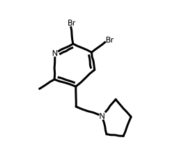 Cc1nc(Br)c(Br)cc1CN1CCCC1